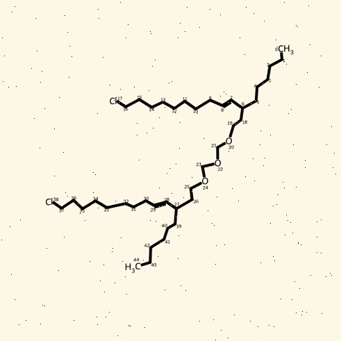 CCCCCCC(C=CCCCCCCCCCl)CCOCOCOCCC(C=CCCCCCCCCCl)CCCCCC